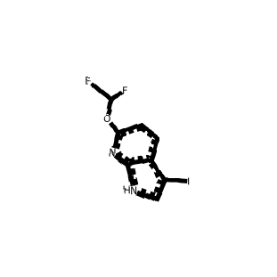 FC(F)Oc1ccc2c(I)c[nH]c2n1